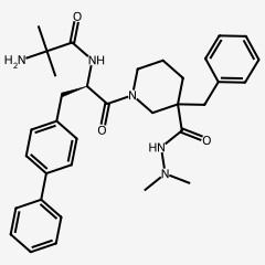 CN(C)NC(=O)C1(Cc2ccccc2)CCCN(C(=O)[C@@H](Cc2ccc(-c3ccccc3)cc2)NC(=O)C(C)(C)N)C1